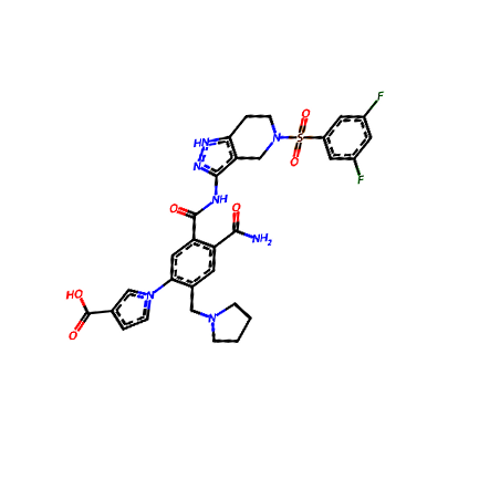 NC(=O)c1cc(CN2CCCC2)c(-n2ccc(C(=O)O)c2)cc1C(=O)Nc1n[nH]c2c1CN(S(=O)(=O)c1cc(F)cc(F)c1)CC2